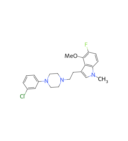 COc1c(F)ccc2c1c(CCN1CCN(c3cccc(Cl)c3)CC1)cn2C